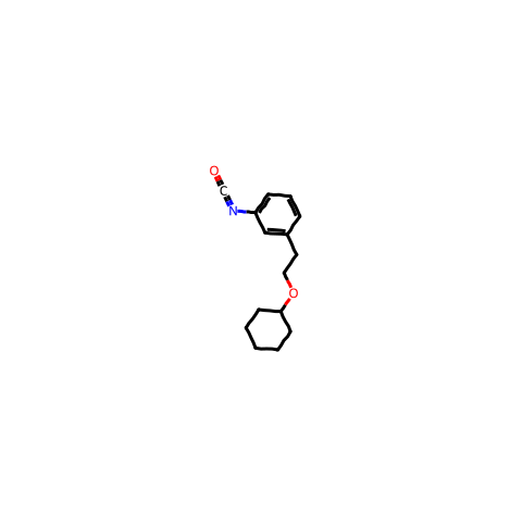 O=C=Nc1cccc(CCOC2CCCCC2)c1